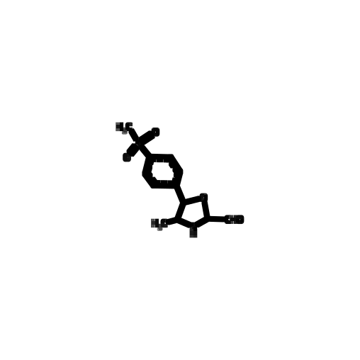 CC1NC(C=O)OC1c1ccc(S(C)(=O)=O)cc1